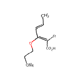 CC=CC(OCCOC)=C(CC)C(=O)O